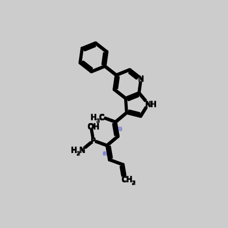 C=C/C=C(\C=C(/C)c1c[nH]c2ncc(-c3ccccc3)cc12)P(N)O